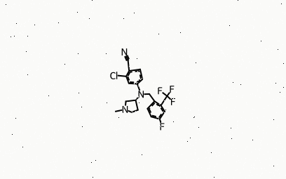 CN1CC[C@H](N(Cc2ccc(F)cc2C(F)(F)F)c2ccc(C#N)c(Cl)c2)C1